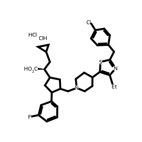 CCc1nc(Cc2ccc(Cl)cc2)sc1C1CCN(CC2CC([C@H](CC3CC3)C(=O)O)CC2c2cccc(F)c2)CC1.Cl.Cl